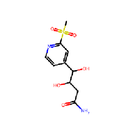 CS(=O)(=O)c1cc(C(O)C(O)CC(N)=O)ccn1